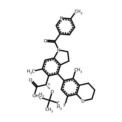 Cc1ccc(C(=O)N2CCc3c2cc(C)c([C@H](OC(C)(C)C)C(=O)O)c3-c2cc(F)c3c(c2C)CCCO3)cn1